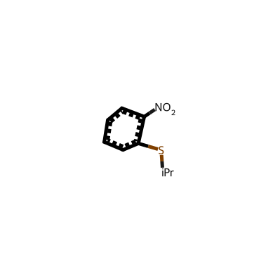 CC(C)Sc1ccccc1[N+](=O)[O-]